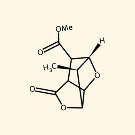 COC(=O)C1C2C(=O)OC3C2O[C@@H]1[C@@H]3C